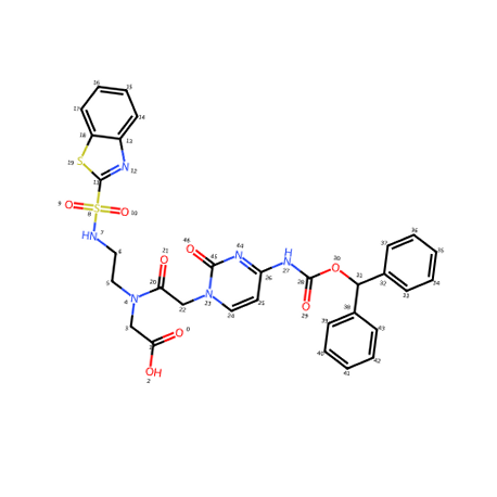 O=C(O)CN(CCNS(=O)(=O)c1nc2ccccc2s1)C(=O)Cn1ccc(NC(=O)OC(c2ccccc2)c2ccccc2)nc1=O